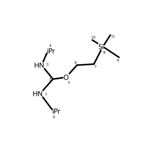 CC(C)NC(NC(C)C)OCC[Si](C)(C)C